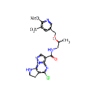 COc1ncc(COC(C)CNC(=O)c2cnn3c4c(c(Cl)nc23)CCN4)cc1[N+](=O)[O-]